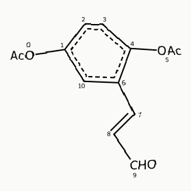 CC(=O)Oc1ccc(OC(C)=O)c(/C=C/C=O)c1